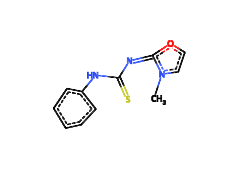 Cn1ccoc1=NC(=S)Nc1ccccc1